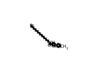 CN1CCN(c2ccc(C(=O)NCCCCCCCCCCCCCCCCCBr)cn2)CC1